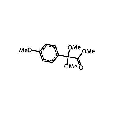 COC(=O)C(OC)(OC)c1ccc(OC)cc1